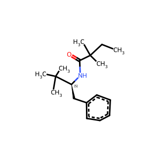 CCC(C)(C)C(=O)N[C@@H](Cc1ccccc1)C(C)(C)C